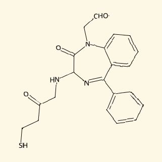 O=[C]CN1C(=O)C(NCC(=O)CCS)N=C(c2ccccc2)c2ccccc21